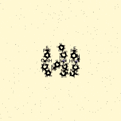 Cc1cccnc1C1(F)CCN(/C(=N/C#N)Nc2ccc(C(F)(F)F)cc2)CC1.Cc1cccnc1C1(F)CCN(/C(=N/C2CCN(c3ccccc3)CC2)Nc2ccc(C(F)(F)F)cc2)CC1.O=C(Nc1ccc(C(F)(F)F)cc1)N1CCC(F)(c2ccccc2)CC1